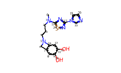 CN(CCCN1Cc2cc(O)c(O)cc21)c1nc(-n2ccnc2)ns1